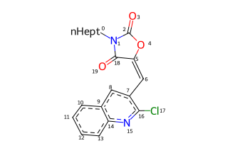 CCCCCCCN1C(=O)O/C(=C/c2cc3ccccc3nc2Cl)C1=O